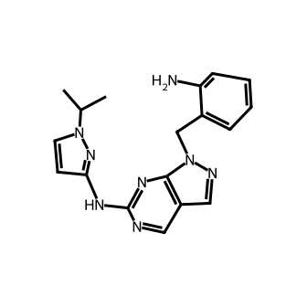 CC(C)n1ccc(Nc2ncc3cnn(Cc4ccccc4N)c3n2)n1